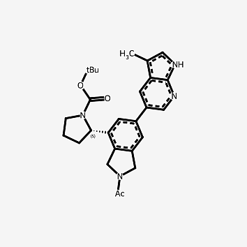 CC(=O)N1Cc2cc(-c3cnc4[nH]cc(C)c4c3)cc([C@@H]3CCCN3C(=O)OC(C)(C)C)c2C1